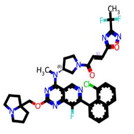 CN(c1nc(OCC23CCCN2CCC3)nc2c(F)c(-c3cccc4cccc(Cl)c34)ncc12)[C@@H]1CCN(C(=O)/C=C/c2nc(C(C)(F)F)no2)C1